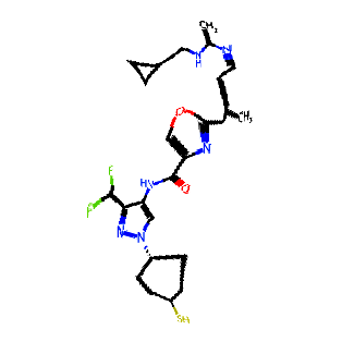 C=C(/N=C\C=C(/C)c1nc(C(=O)Nc2cn([C@H]3CC[C@H](S)CC3)nc2C(F)F)co1)NCC1CC1